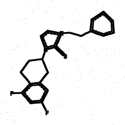 Fc1cc(F)c2c(c1)CC(n1ccn(CCc3ccccc3)c1=S)CC2